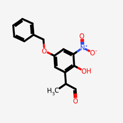 CC(C=O)c1cc(OCc2ccccc2)cc([N+](=O)[O-])c1O